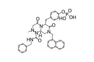 CN1CC(=O)N2[C@@H](Cc3ccc(OP(=O)(O)O)cc3)C(=O)N(Cc3cccc4ccccc34)C[C@@H]2N1C(=O)NCc1ccccc1